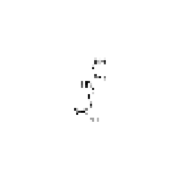 NCC(=O)NCCCS(=O)O